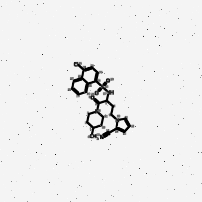 CC1CCN(C(=O)C(CCn2cccc2C#N)NS(=O)(=O)c2ccc(Cl)c3ccccc23)CC1